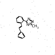 Cn1nnc(-c2ccccc2/C=C/c2ccccc2)n1